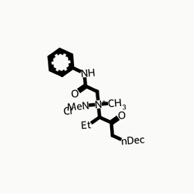 CCCCCCCCCCCC(=O)C(CC)[N+](C)(CC(=O)Nc1ccccc1)NC.[Cl-]